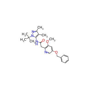 COc1cc(OCc2ccccc2)cnc1CC(=O)Nc1c(C)c(C)nn1C(C)(C)C